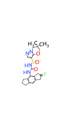 CC1(C)COc2c([S+]([O-])NC(=O)Nc3c4c(cc5c3C[C@H](F)C5)CCC4)cnn2C1